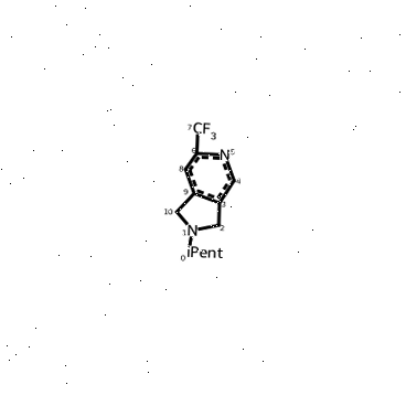 CCCC(C)N1Cc2cnc(C(F)(F)F)cc2C1